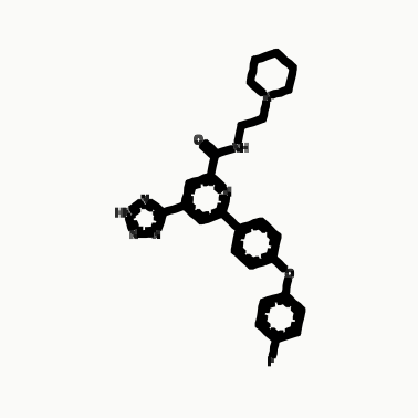 O=C(NCCN1CCCCC1)c1cc(-c2nn[nH]n2)cc(-c2ccc(Oc3ccc(F)cc3)cc2)n1